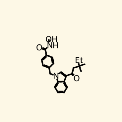 CCC(C)(C)CC(=O)c1cn(Cc2ccc(C(=O)NO)cc2)c2ccccc12